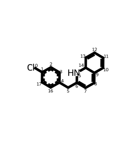 Clc1ccc(CC2=CC=C3C=CC=CC3N2)cc1